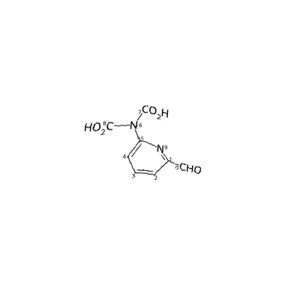 O=Cc1cccc(N(C(=O)O)C(=O)O)n1